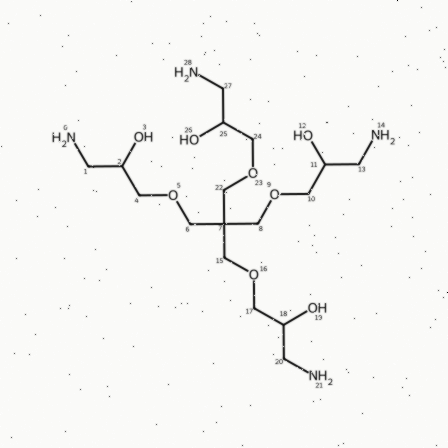 NCC(O)COCC(COCC(O)CN)(COCC(O)CN)COCC(O)CN